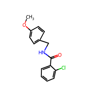 COc1ccc(CNC(=O)c2ccccc2Cl)cc1